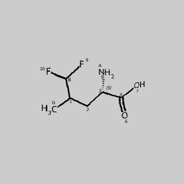 CC(C[C@H](N)C(=O)O)C(F)F